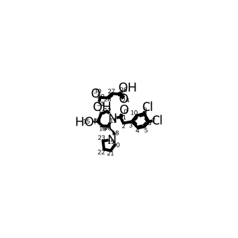 O=C(Cc1ccc(Cl)c(Cl)c1)N1CC[C@@H](O)C[C@@H]1CN1CCCC1.O=C(O)C=CC(=O)O